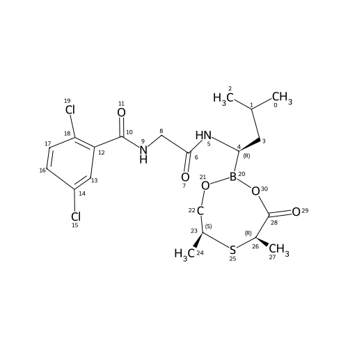 CC(C)C[C@H](NC(=O)CNC(=O)c1cc(Cl)ccc1Cl)B1OC[C@H](C)S[C@H](C)C(=O)O1